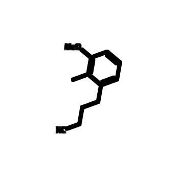 COc1cccc(CCCC#N)c1C